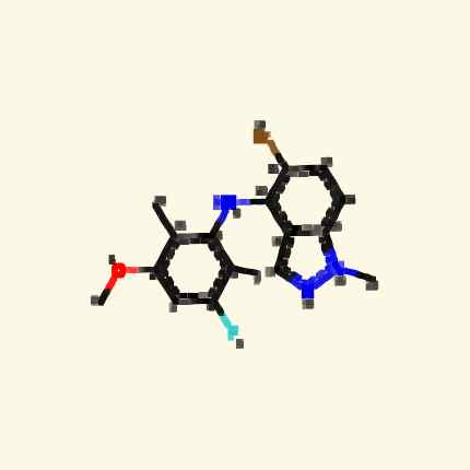 COc1cc(F)c(C)c(Nc2c(Br)ccc3c2cnn3C)c1C